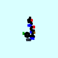 Cc1ccc(CNC(=O)Cc2csc(-c3cnn(C(C)(C)C)c3-c3ccc(F)cc3)n2)o1